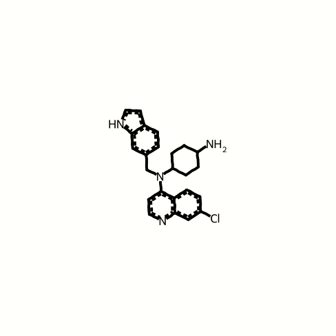 NC1CCC(N(Cc2ccc3cc[nH]c3c2)c2ccnc3cc(Cl)ccc23)CC1